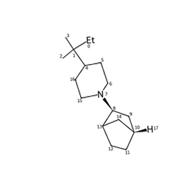 CCC(C)(C)C1CCN([C@H]2C[C@@H]3CCC2C3)CC1